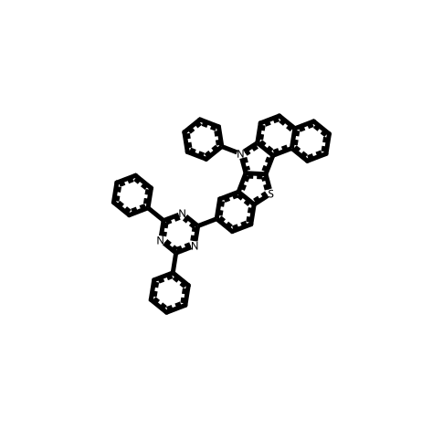 c1ccc(-c2nc(-c3ccccc3)nc(-c3ccc4sc5c6c7ccccc7ccc6n(-c6ccccc6)c5c4c3)n2)cc1